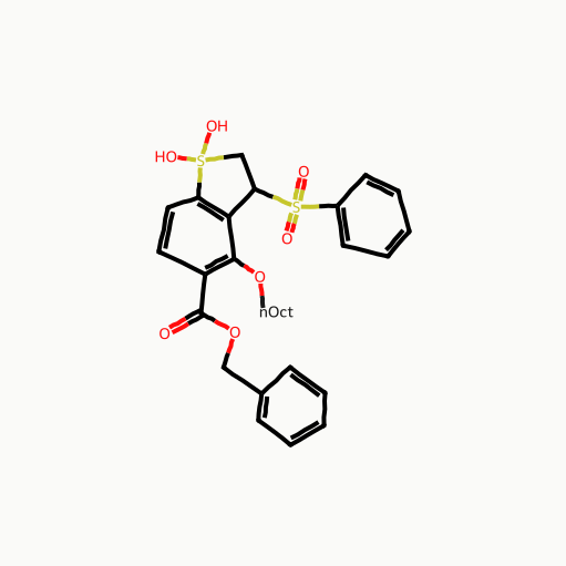 CCCCCCCCOc1c(C(=O)OCc2ccccc2)ccc2c1C(S(=O)(=O)c1ccccc1)CS2(O)O